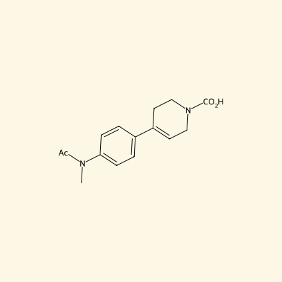 CC(=O)N(C)c1ccc(C2=CCN(C(=O)O)CC2)cc1